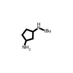 CC(C)(C)NC1CCC(N)C1